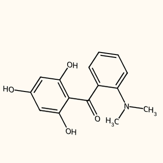 CN(C)c1ccccc1C(=O)c1c(O)cc(O)cc1O